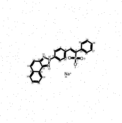 O=S(=O)([O-])C(=Cc1ccc(-n2nc3ccc4ccccc4c3n2)cc1)c1ccccc1.[Na+]